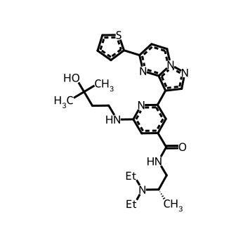 CCN(CC)[C@@H](C)CNC(=O)c1cc(NCCC(C)(C)O)nc(-c2cnn3ccc(-c4cccs4)nc23)c1